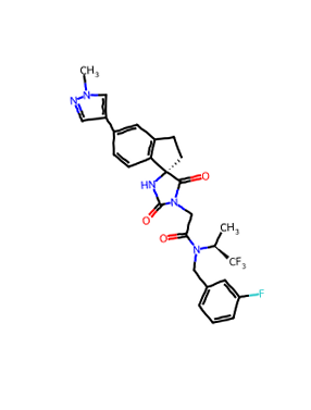 C[C@H](N(Cc1cccc(F)c1)C(=O)CN1C(=O)N[C@]2(CCc3cc(-c4cnn(C)c4)ccc32)C1=O)C(F)(F)F